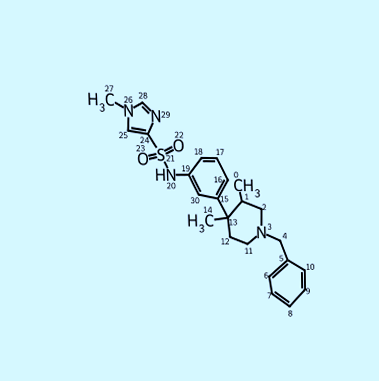 CC1CN(Cc2ccccc2)CCC1(C)c1cccc(NS(=O)(=O)c2cn(C)cn2)c1